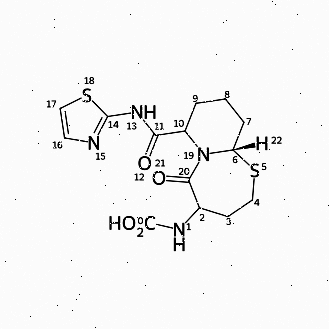 O=C(O)NC1CCS[C@H]2CCCC(C(=O)Nc3nccs3)N2C1=O